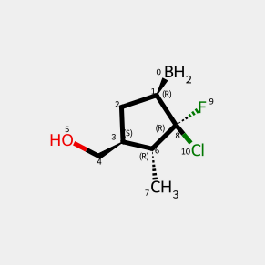 B[C@@H]1C[C@H](CO)[C@@H](C)[C@]1(F)Cl